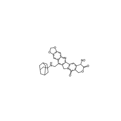 O=NC1C(=O)OCc2c1cc1n(c2=O)Cc2c-1nc1cc3c(cc1c2CNC12CC4CC(CC(C4)C1)C2)OCO3